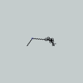 CCCCCCCC/C=C\CCCCCCCCCCCOC[C@H](COP(=O)([O-])OCC[N+](C)(C)C)OC